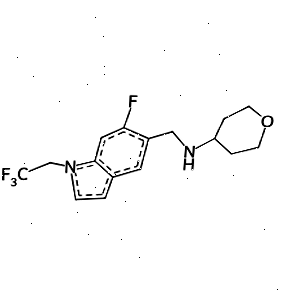 Fc1cc2c(ccn2CC(F)(F)F)cc1CNC1CCOCC1